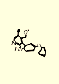 C#Cc1cnc2[nH]c3ccc(Oc4ccccc4)cc3c2c1COC